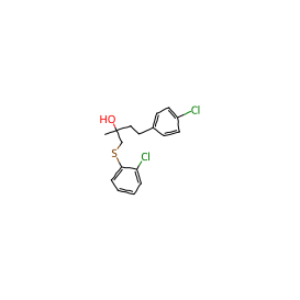 CC(O)(CCc1ccc(Cl)cc1)CSc1ccccc1Cl